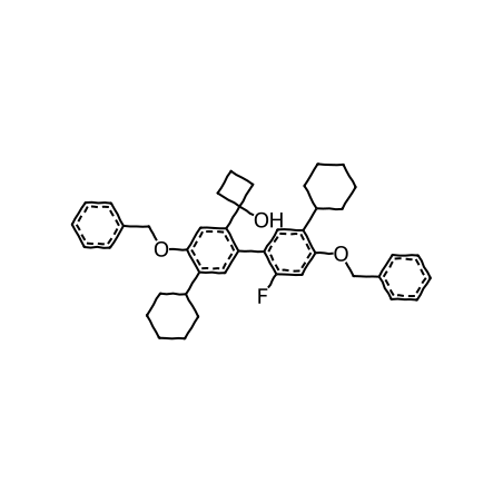 OC1(c2cc(OCc3ccccc3)c(C3CCCCC3)cc2-c2cc(C3CCCCC3)c(OCc3ccccc3)cc2F)CCC1